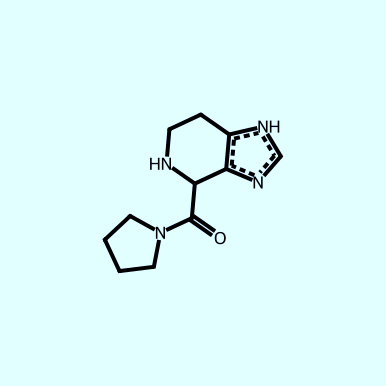 O=C(C1NCCc2[nH]cnc21)N1CCCC1